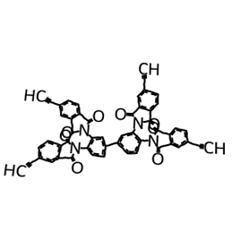 C#Cc1ccc2c(c1)C(=O)N(c1ccc(-c3ccc(N4C(=O)c5ccc(C#C)cc5C4=O)c(N4C(=O)c5ccc(C#C)cc5C4=O)c3)cc1N1C(=O)c3ccc(C#C)cc3C1=O)C2=O